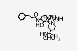 C=C(NC=O)C1CCN(C(=N)N)C(n2c(C)ccc(NC(=O)CCc3ccccc3)c2=O)C1